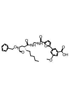 CCCCCC[C@H](CN(C=O)OCc1ccccc1)C(=O)NCNC(=O)c1ccc(-c2cc(OC)cc(C(=O)O)c2)o1